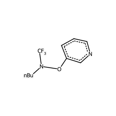 CCCCN(Oc1cccnc1)C(F)(F)F